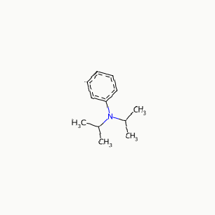 CC(C)N(c1c[c]ccc1)C(C)C